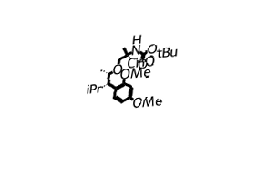 COc1ccc([C@H](C(C)C)[C@H](C)OC[C@](C)(C=O)NC(=O)OC(C)(C)C)c(OC)c1